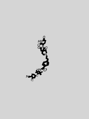 CC1(C)C(NC(=O)c2ccc(CCCN3CCC4(CC3)CC(=O)N(C3CCC(=O)NC3=O)C4=O)cc2)C(C)(C)C1Oc1ccc(C#N)c(Cl)c1